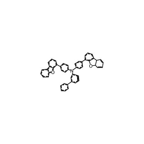 c1cc(-c2ccccc2)cc(N(c2ccc(-c3cccc4c3OC3C=CC=CC43)cc2)c2ccc(-c3cccc4c3oc3ccccc34)cc2)c#1